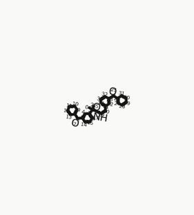 CC1(C)c2cc(C(=O)c3ccccc3)ccc2NC12C=Cc1cc(C(=O)c3ccccc3)ccc1O2